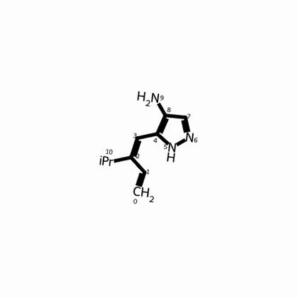 C=C/C(=C\c1[nH]ncc1N)C(C)C